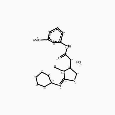 COc1cccc(NC(=O)CC2CSC(=NC3CCCCC3)N2C)c1.Cl